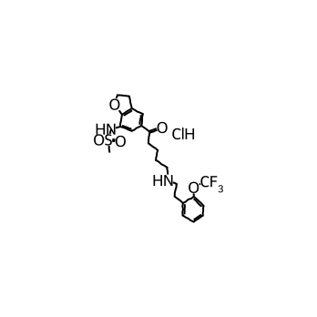 CS(=O)(=O)Nc1cc(C(=O)CCCCNCCc2ccccc2OC(F)(F)F)cc2c1OCC2.Cl